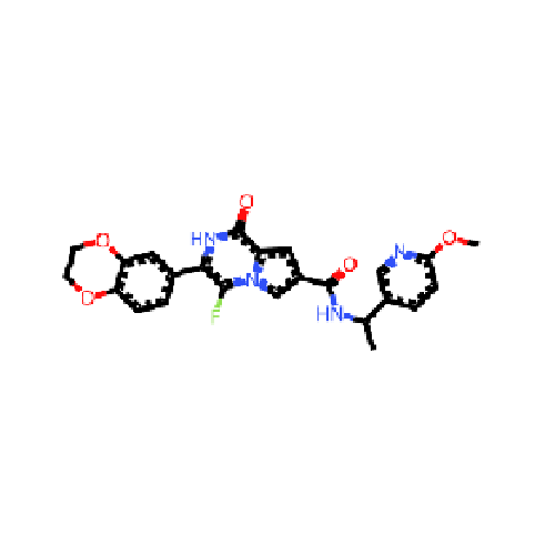 COc1ccc(C(C)NC(=O)c2cc3c(=O)[nH]c(-c4ccc5c(c4)OCCO5)c(F)n3c2)cn1